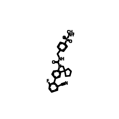 CNS(=O)(=O)c1ccc(CNC(=O)N2CC3(CCCC3)c3cc(-c4c(F)cccc4C#N)ccc32)cc1